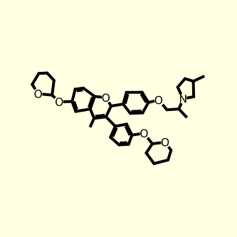 CC1=C(c2cccc(OC3CCCCO3)c2)C(c2ccc(OCC(C)N3CCC(C)C3)cc2)Oc2ccc(OC3CCCCO3)cc21